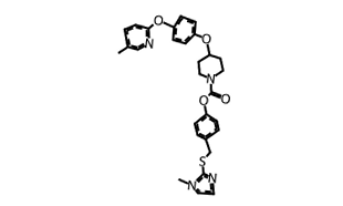 Cc1ccc(Oc2ccc(OC3CCN(C(=O)Oc4ccc(CSc5nccn5C)cc4)CC3)cc2)nc1